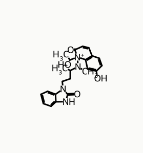 CC(CCn1c(=O)[nH]c2ccccc21)N(C)[N+]1(C(C)O)C(=O)C=Cc2ccc(O)cc21